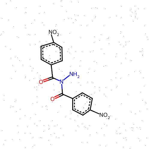 NN(C(=O)c1ccc([N+](=O)[O-])cc1)C(=O)c1ccc([N+](=O)[O-])cc1